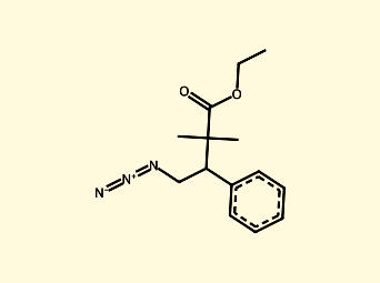 CCOC(=O)C(C)(C)C(CN=[N+]=[N-])c1ccccc1